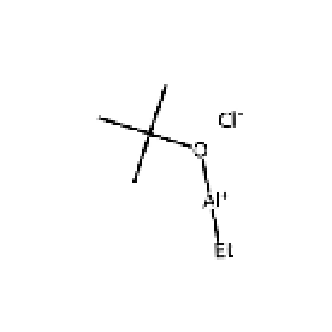 C[CH2][Al+][O]C(C)(C)C.[Cl-]